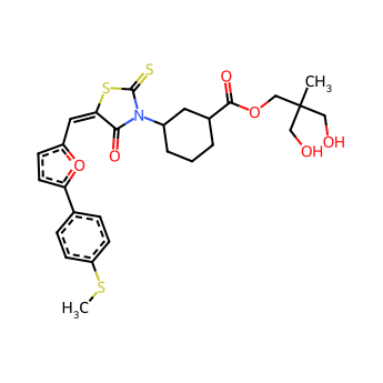 CSc1ccc(-c2ccc(C=C3SC(=S)N(C4CCCC(C(=O)OCC(C)(CO)CO)C4)C3=O)o2)cc1